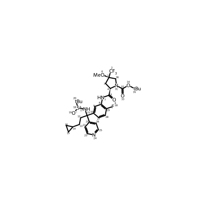 CO[C@]1(C(F)(F)F)C[C@H](C(=O)Nc2cc(C(CCC3CC3)(N[S+]([O-])C(C)(C)C)c3ccncc3)ccc2F)N(C(=O)OC(C)(C)C)C1